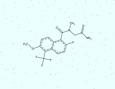 COc1ccc2c(C(=O)N(C)CC(N)=O)c(F)ccc2c1C(F)(F)F